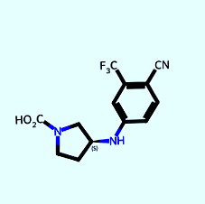 N#Cc1ccc(N[C@H]2CCN(C(=O)O)C2)cc1C(F)(F)F